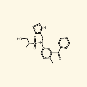 Cc1ccc(N(Cc2ccc[nH]2)S(=O)(=O)C(C)CO)cc1C(=O)c1ccccc1